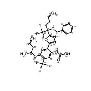 C=CCCC(OCc1ccccc1)(c1nnc(-c2nc(OC(C)CC=C)c(C(F)(F)F)cc2NC(=O)O)o1)C(F)(F)F